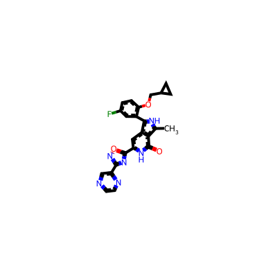 Cc1[nH]c(-c2cc(F)ccc2OCC2CC2)c2cc(-c3nc(-c4cnccn4)no3)[nH]c(=O)c12